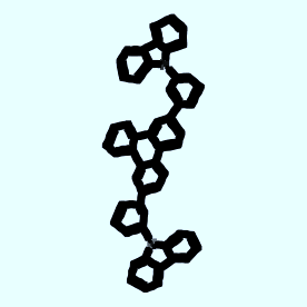 c1cc(-c2ccc3c4ccc(-c5cccc(-n6c7ccccc7c7ccccc76)c5)cc4c4ccccc4c3c2)cc(-n2c3ccccc3c3ccccc32)c1